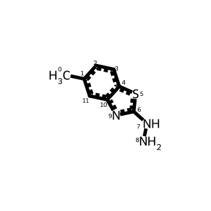 Cc1ccc2sc(NN)nc2c1